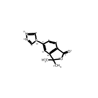 CC1(C)OC(=O)c2ccc(-n3cnnc3)cc21